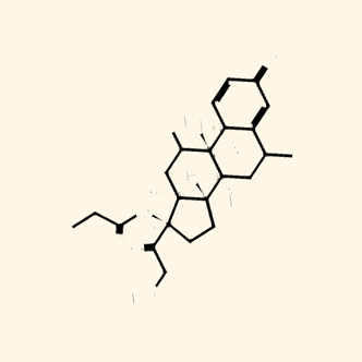 CCC(=O)O[C@]1(C(=O)CO)CC[C@H]2[C@@H]3CC(C)C4=CC(=O)C=C[C@]4(C)[C@H]3C(O)C[C@@]21C